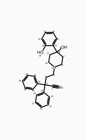 N#CC(CCN1CCC(O)(c2ccccc2O)CC1)(c1ccccc1)c1ccccc1